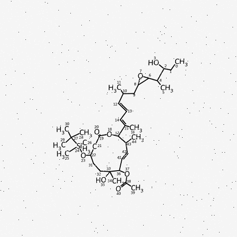 CCC(O)C(C)C1OC1CC(C)/C=C/C=C(\C)C1OC(=O)CC(O[Si](C)(C)C(C)(C)C)CCC(C)(O)C(OC(C)=O)/C=C/C1C